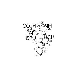 CN(C(=O)OCC1c2ccccc2-c2ccccc21)[C@@H](CC1CCNCC1)C(=O)O.Cl